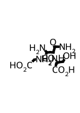 NC(=O)CC(N)C(=O)O.NC(CO)C(=O)O.NCC(=O)O